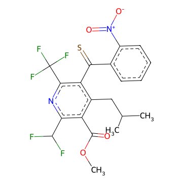 COC(=O)c1c(C(F)F)nc(C(F)(F)F)c(C(=S)c2ccccc2[N+](=O)[O-])c1CC(C)C